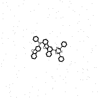 c1ccc(-c2nc(-c3ccccc3)nc(-c3cc4c5cccc(N(c6ccccc6)c6ccc7c(c6)oc6ccccc67)c5oc4c4ccccc34)n2)cc1